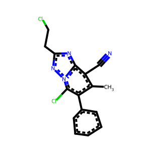 Cc1c(-c2ccccc2)c(Cl)n2nc(CCCl)nc2c1C#N